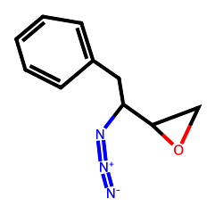 [N-]=[N+]=NC(Cc1ccccc1)C1CO1